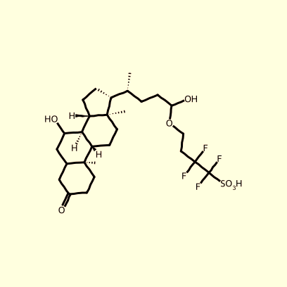 C[C@H](CCC(O)OCCC(F)(F)C(F)(F)S(=O)(=O)O)[C@H]1CC[C@H]2[C@@H]3C(O)CC4CC(=O)CC[C@]4(C)[C@H]3CC[C@]12C